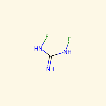 N=C(NF)NF